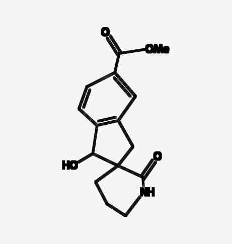 COC(=O)c1ccc2c(c1)CC1(CCCNC1=O)C2O